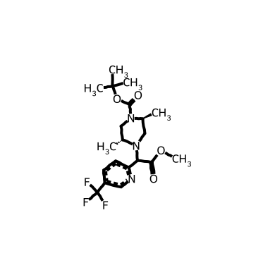 COC(=O)C(c1ccc(C(F)(F)F)cn1)N1C[C@H](C)N(C(=O)OC(C)(C)C)C[C@H]1C